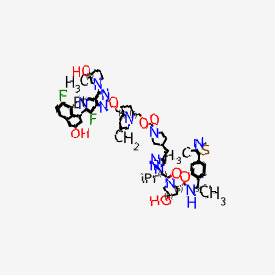 C=C1CN2[C@H](COC(=O)N3CCC(Cc4cn([C@H](C(=O)N5C[C@H](O)C[C@H]5C(=O)N[C@@H](C)c5ccc(-c6scnc6C)cc5)C(C)C)nn4)CC3)CC[C@@]2(COc2nc(N3CCC[C@@](C)(O)C3)c3cnc(-c4cc(O)cc5ccc(F)c(CC)c45)c(F)c3n2)C1